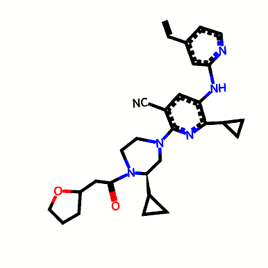 C=Cc1ccnc(Nc2cc(C#N)c(N3CCN(C(=O)CC4CCCO4)[C@H](C4CC4)C3)nc2C2CC2)c1